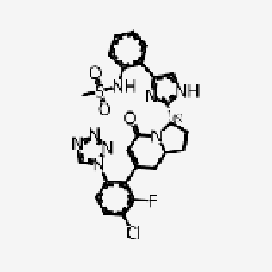 CS(=O)(=O)Nc1ccccc1-c1c[nH]c([C@@H]2CCC3CC(c4c(-n5cnnn5)ccc(Cl)c4F)=CC(=O)N32)n1